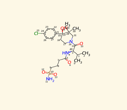 CC(C)[C@@H](NC(=O)CCCS(N)(=O)=O)C(=O)N1CC[C@](O)(c2ccc(Cl)cc2)C(C)(C)C1